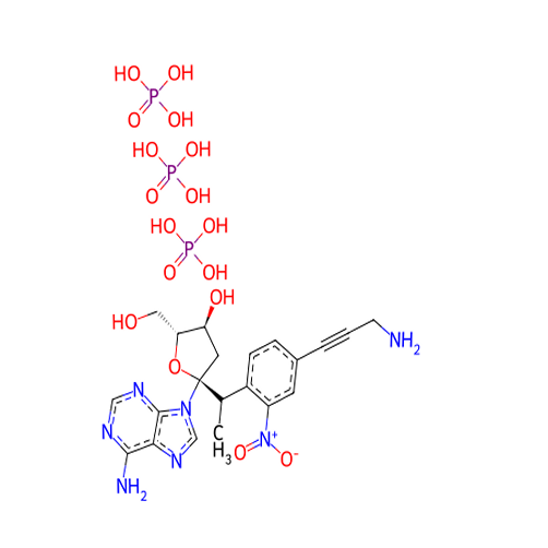 CC(c1ccc(C#CCN)cc1[N+](=O)[O-])[C@]1(n2cnc3c(N)ncnc32)C[C@H](O)[C@@H](CO)O1.O=P(O)(O)O.O=P(O)(O)O.O=P(O)(O)O